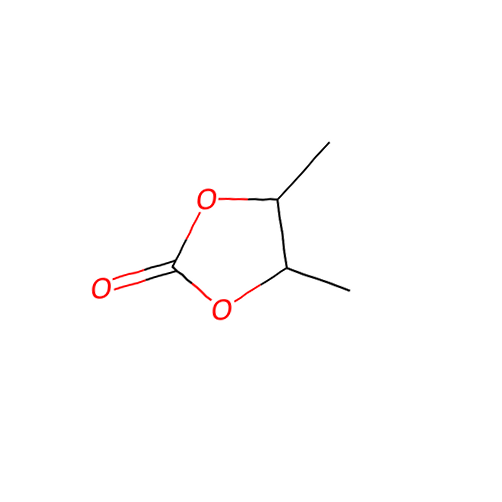 CC1OC(=O)OC1C